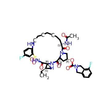 C=C[C@@H]1C[C@@]12NC(=O)[C@@H]1C[C@@H](OC(=O)N3Cc4cccc(F)c4C3)CN1C(=O)[C@@H](NC(C)=O)CCCCCCCNc1ccc(F)cc1S(=O)(=O)NC2=O